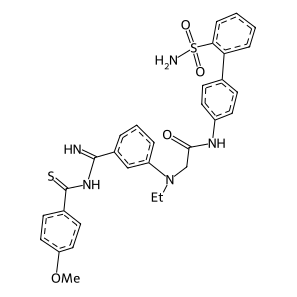 CCN(CC(=O)Nc1ccc(-c2ccccc2S(N)(=O)=O)cc1)c1cccc(C(=N)NC(=S)c2ccc(OC)cc2)c1